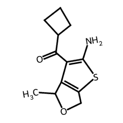 CC1OCc2sc(N)c(C(=O)C3CCC3)c21